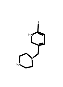 IC1=CC=C(CN2CCNCC2)CN1